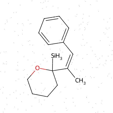 CC(=Cc1ccccc1)C1([SiH3])CCCCO1